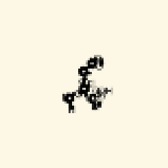 Cc1c(COc2cc(OCc3cncc(C#N)c3)c(CN(CCS(=O)(=O)O)Cc3nccn3C)cc2Cl)cccc1-c1ccc2c(c1)OCCO2